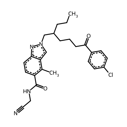 CCCC(CCCC(=O)c1ccc(Cl)cc1)Cn1cc2c(C)c(C(=O)NCC#N)ccc2n1